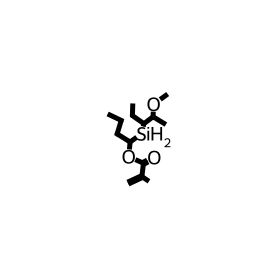 C=C(C)C(=O)OC(CCC)[SiH2]C(CC)C(C)OC